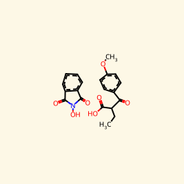 CCC(C(=O)O)C(=O)c1ccc(OC)cc1.O=C1c2ccccc2C(=O)N1O